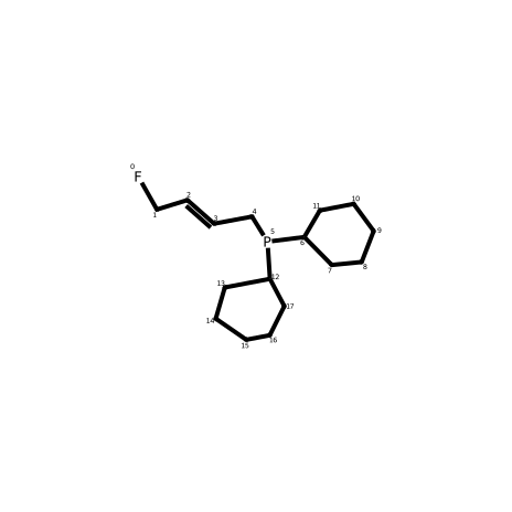 FCC=CCP(C1CCCCC1)C1CCCCC1